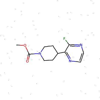 COC(=O)N1CCC(c2nccnc2F)CC1